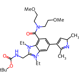 CCn1c(CNC(=O)OC(C)(C)C)[n+](CC)c2cc(C3=CC(C)N=C3C)cc(C(=O)N(CCOC)CCOC)c21